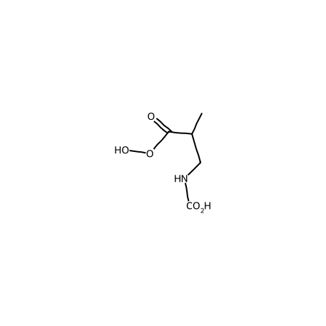 CC(CNC(=O)O)C(=O)OO